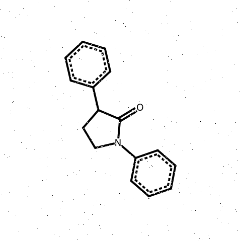 O=C1C(c2ccccc2)CCN1c1c[c]ccc1